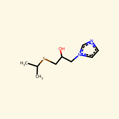 CC(C)SCC(O)Cn1ccnc1